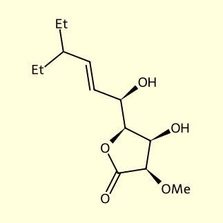 CCC(C=C[C@@H](O)[C@@H]1OC(=O)[C@H](OC)[C@@H]1O)CC